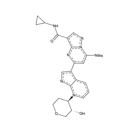 CNc1cc(-c2cnc3n([C@@H]4CCOC[C@H]4O)cccc2-3)nc2c(C(=O)NC3CC3)cnn12